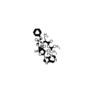 CC(C)OC(=O)[C@@H](C)NP(=O)(Oc1ccccc1)O[C@H]1[C@H]2O[C@@H](n3cnc4cncnc43)[C@@H](O)[C@]21O